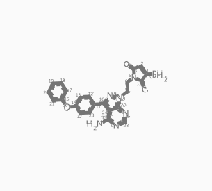 BC1=CC(=O)N(CCn2nc(-c3ccc(Oc4ccccc4)cc3)c3c(N)ncnc32)C1=O